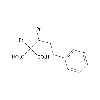 CCC(C(=O)O)(C(=O)O)C(CCc1ccccc1)C(C)C